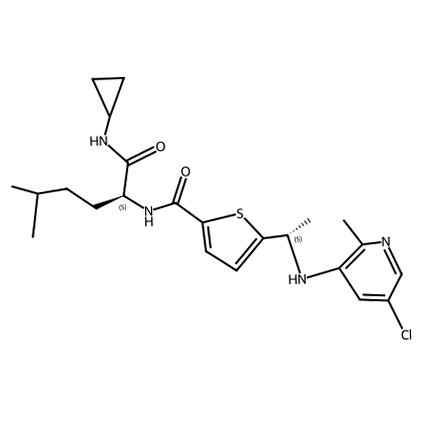 Cc1ncc(Cl)cc1N[C@@H](C)c1ccc(C(=O)N[C@@H](CCC(C)C)C(=O)NC2CC2)s1